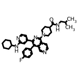 CC(C)CNC(=O)C1CCN(c2nc(-c3ccnc(NC4CCCCC4)c3)c(-c3ccc(F)cc3)c3cnccc23)CC1